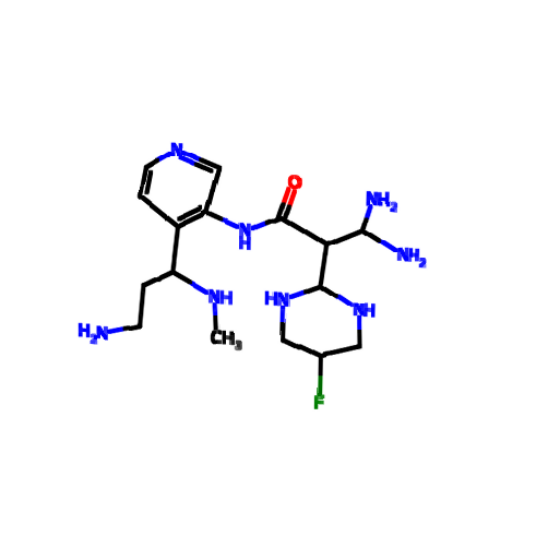 CNC(CCN)c1ccncc1NC(=O)C(C(N)N)C1NCC(F)CN1